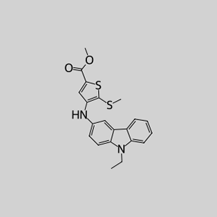 CCn1c2ccccc2c2cc(Nc3cc(C(=O)OC)sc3SC)ccc21